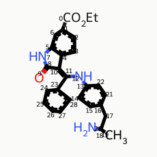 CCOC(=O)c1ccc2c(c1)NC(=O)C2=C(Nc1ccc(CC(C)N)cc1)c1ccccc1